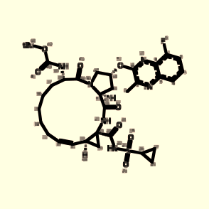 Cc1nc2cccc(F)c2nc1O[C@@H]1C[C@H]2C(=O)N[C@]3(C(=O)NS(=O)(=O)C4CC4)C[C@H]3/C=C\CCCCC[C@H](NC(=O)OC(C)(C)C)C(=O)N2C1